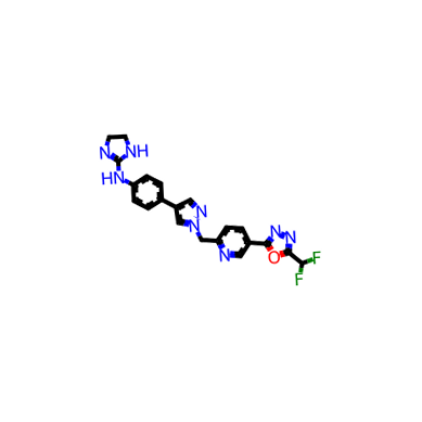 FC(F)c1nnc(-c2ccc(Cn3cc(-c4ccc(NC5=NCCN5)cc4)cn3)nc2)o1